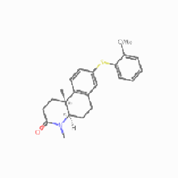 COc1ccccc1Sc1ccc2c(c1)CC[C@H]1N(C)C(=O)CC[C@]21C